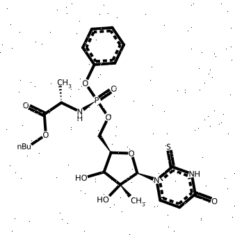 CCCCOC(=O)[C@H](C)N[P@@](=O)(OC[C@H]1O[C@@H](n2ccc(=O)[nH]c2=S)[C@](C)(O)C1O)Oc1ccccc1